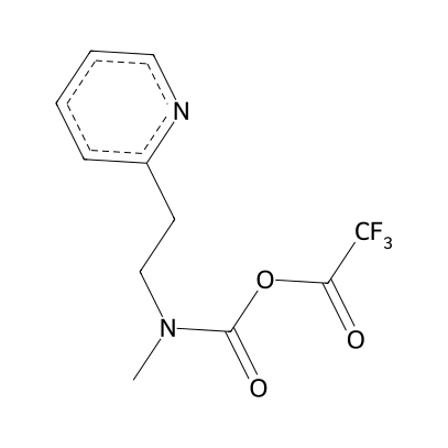 CN(CCc1ccccn1)C(=O)OC(=O)C(F)(F)F